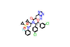 O=C1[C@@H](Cc2ncn[nH]2)O[C@H](c2cccc(Cl)c2)[C@@H](c2ccc(Cl)cc2)N1[C@@H](CN(c1ccccc1F)S(=O)(=O)C1CC1)C1CC1